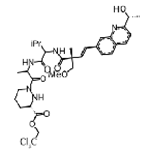 COC[C@@](C)(/C=C/c1ccc2ccc([C@@H](C)O)nc2c1)C(=O)NC(C(=O)NC(C)C(=O)N1CCC[C@@H](C(=O)OCC(Cl)(Cl)Cl)N1)C(C)C